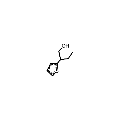 CCC(CO)c1cccs1